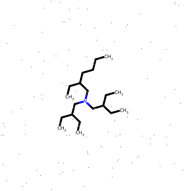 CCCCC(CC)CN(CC(CC)CC)CC(CC)CC